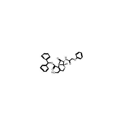 O=C(COc1ccccc1)N[C@H]1C(=O)N2C(C(=O)OC(c3ccccc3)c3ccccc3)=C(CO)CS[C@@H]12